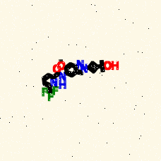 COc1cc2nn(C3CC(C(C)(C)O)C3)cc2cc1NC(=O)c1cccc(C(F)(F)F)n1